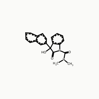 CN(C)C(=O)N1C(=O)C(O)(c2ccc3ccccc3c2)c2ccccc21